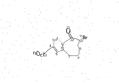 CCCCCCCCc1ccc2c(c1)CCCC(Br)C2=O